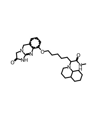 CNC(=O)C(CCCCCOc1cccc2c1N=C1NC(=O)CN1C2)N1CCCC2CCCCC21